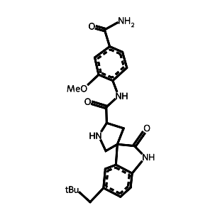 COc1cc(C(N)=O)ccc1NC(=O)C1CC2(CN1)C(=O)Nc1ccc(CC(C)(C)C)cc12